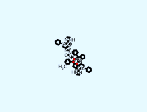 Cc1ccc(N(C(=O)Nc2nc(CSc3ccccc3)c(S(=O)(=O)c3ncc[nH]3)s2)N(C(=O)Nc2nc(CSc3ccccc3)c(S(=O)(=O)c3ncc[nH]3)s2)c2ccccc2C(=O)C2CCCC2)c(C(=O)C2CCCC2)c1